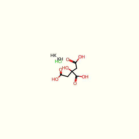 Cl.O=C(O)CC(O)(CC(=O)O)C(=O)O.[KH].[KH]